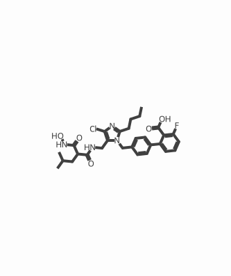 CCCCc1nc(Cl)c(CNC(=O)C(CC(C)C)C(=O)NO)n1Cc1ccc(-c2cccc(F)c2C(=O)O)cc1